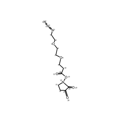 [N-]=[N+]=NCCOCCOCCC(=O)ON1CCC(=O)C1=O